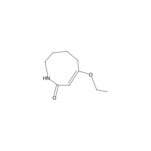 CCOC1=CC(=O)NCCCC1